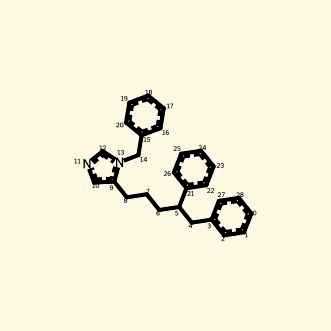 c1ccc(CC(CCCc2cncn2Cc2ccccc2)c2ccccc2)cc1